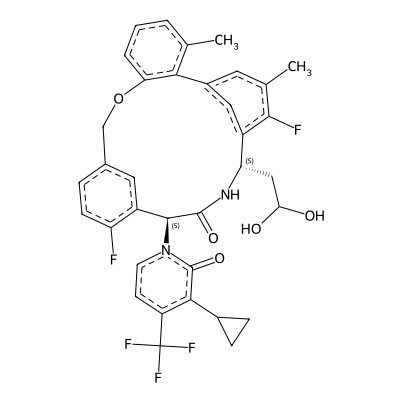 Cc1cc2cc(c1F)[C@H](CC(O)O)NC(=O)[C@@H](n1ccc(C(F)(F)F)c(C3CC3)c1=O)c1cc(ccc1F)COc1cccc(C)c1-2